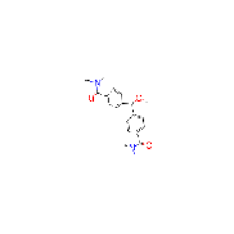 COC(c1ccc(C(=O)N(C)C)cc1)c1ccc(C(=O)N(C)C)cc1